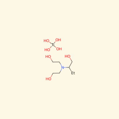 CCC(CO)N(CCO)CCO.[OH][Ti]([OH])([OH])[OH]